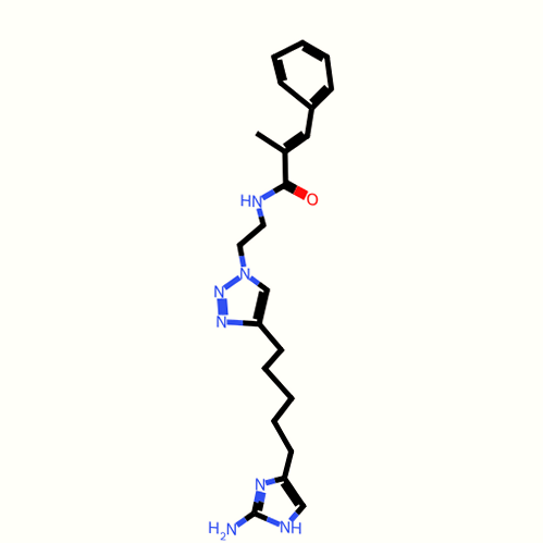 C/C(=C\c1ccccc1)C(=O)NCCn1cc(CCCCCc2c[nH]c(N)n2)nn1